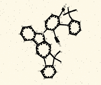 CC(C)(C)c1ccccc1-c1c(C#N)ccc(-n2c3ccccc3c3cc4c(cc32)C(C)(C)c2ccccc2-4)c1C#N